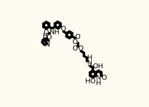 O=C(COC(=O)c1ccc(COc2cccc(C(NC(=O)O[C@H]3CN4CCC3CC4)c3ccccc3)c2)cc1)OCCCCCNC[C@H](O)c1ccc(O)c2[nH]c(=O)ccc12